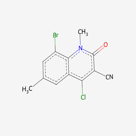 Cc1cc(Br)c2c(c1)c(Cl)c(C#N)c(=O)n2C